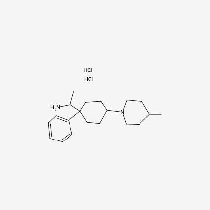 CC1CCN(C2CCC(c3ccccc3)(C(C)N)CC2)CC1.Cl.Cl